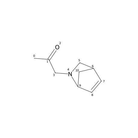 CC(=O)CN1CC2C=CC1C2